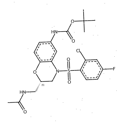 CC(=O)NC[C@H]1CN(S(=O)(=O)c2ccc(F)cc2Cl)c2cc(NC(=O)OC(C)(C)C)ccc2O1